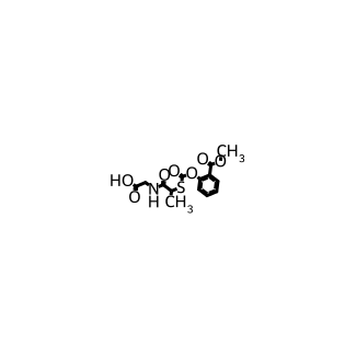 COC(=O)c1ccccc1OC(=O)SC(C)C(=O)NCC(=O)O